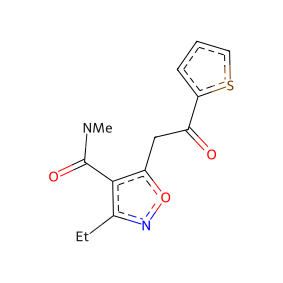 CCc1noc(CC(=O)c2cccs2)c1C(=O)NC